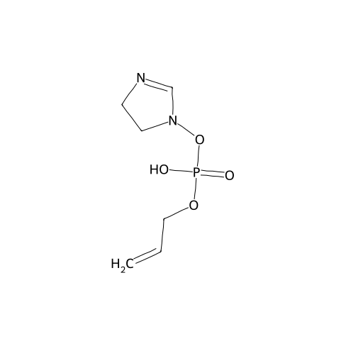 C=CCOP(=O)(O)ON1C=NCC1